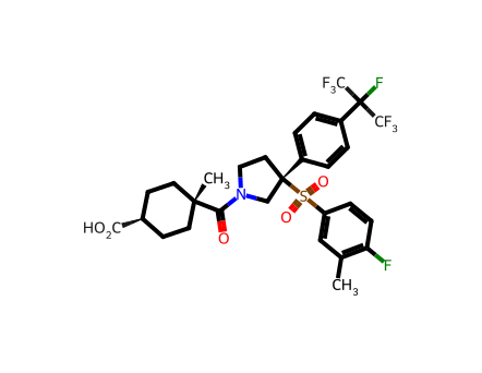 Cc1cc(S(=O)(=O)[C@@]2(c3ccc(C(F)(C(F)(F)F)C(F)(F)F)cc3)CCN(C(=O)[C@]3(C)CC[C@@H](C(=O)O)CC3)C2)ccc1F